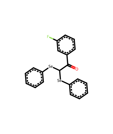 O=C(c1cccc(F)c1)C([Se]c1ccccc1)[Se]c1ccccc1